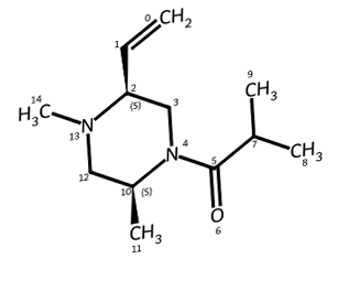 C=C[C@H]1CN(C(=O)C(C)C)[C@@H](C)CN1C